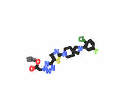 CC(C)(C)OC(=O)Cn1nnc(-c2cnc(N3CCC4(CC3)CN(c3cc(F)ccc3Cl)C4)s2)n1